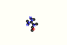 c1ccc(-c2cc(-c3cc(-n4c5ccccc5c5cnccc54)cc(-n4c5ccccc5c5cnccc54)c3)cc(-c3ccc4c(c3)oc3ccccc34)n2)cc1